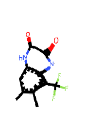 Cc1cc2c(c(C(F)(F)F)c1C)[N]C(=O)C(=O)N2